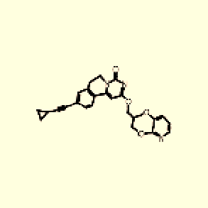 O=c1nc(OCC2COc3ncccc3O2)cc2n1CCc1cc(C#CC3CC3)ccc1-2